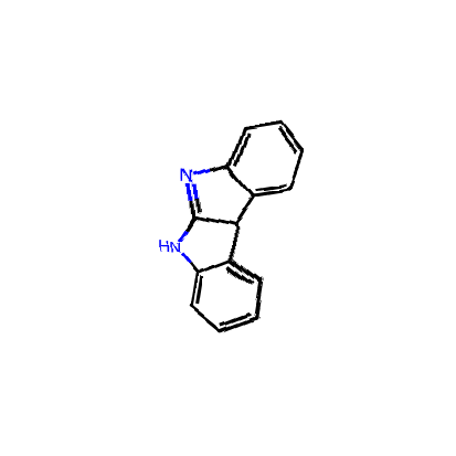 c1ccc2c(c1)N=C1Nc3ccccc3C12